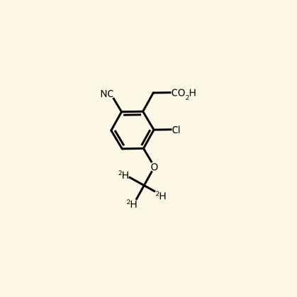 [2H]C([2H])([2H])Oc1ccc(C#N)c(CC(=O)O)c1Cl